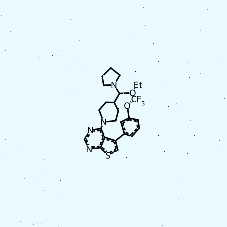 CCOC(C1CCN(c2ncnc3scc(-c4cccc(OC(F)(F)F)c4)c23)CC1)N1CCCC1